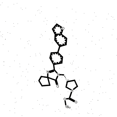 CC(C)(C)OC(=O)N1CC[C@@H](CN2C(=O)C3(CCCC3)N=C2c2ccc(-c3ccc4occc4c3)cc2)C1